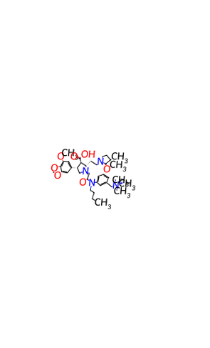 CCCCN(C(=O)CN1C[C@H](c2cc(OC)c3c(c2)OCO3)[C@@H](C(=O)O)[C@@H]1CCN1CCC(C)(C)C1=O)c1cccc(C[N+](C)(C)C)c1